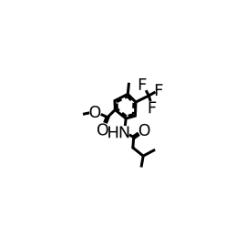 COC(=O)c1cc(C)c(C(F)(F)F)cc1NC(=O)CC(C)C